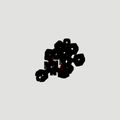 O=S1(c2ccccc2)=Nc2ccccc2C(c2ccccc2)=C1c1cccc2oc3ccc(-c4cccc(-c5nc(-c6ccccc6)nc(-c6ccccc6)n5)c4)cc3c12